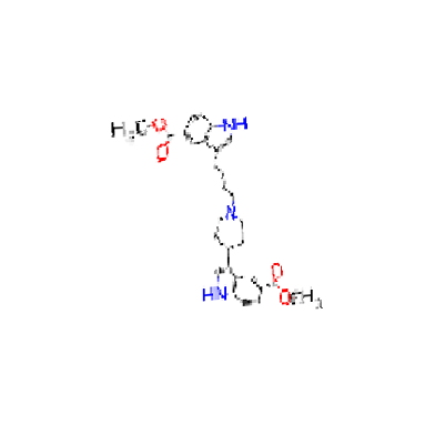 COC(=O)c1ccc2[nH]cc(CCCCN3CCC(c4c[nH]c5ccc(C(=O)OC)cc45)CC3)c2c1